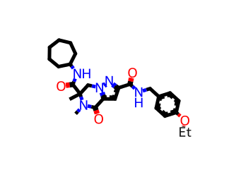 CCOc1ccc(CNC(=O)c2cc3n(n2)CC(C)(C(=O)NC2CCCCCC2)N(C)C3=O)cc1